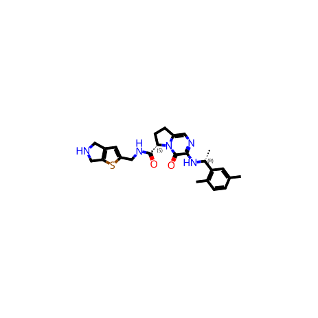 Cc1ccc(C)c([C@@H](C)Nc2ncc3n(c2=O)[C@H](C(=O)NCc2cc4c(s2)CNC4)CC3)c1